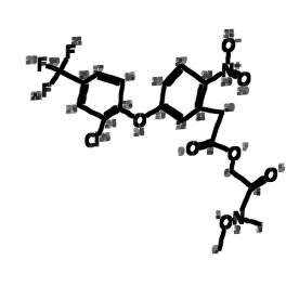 CON(C)C(=O)COC(=O)Cc1cc(Oc2ccc(C(F)(F)F)cc2Cl)ccc1[N+](=O)[O-]